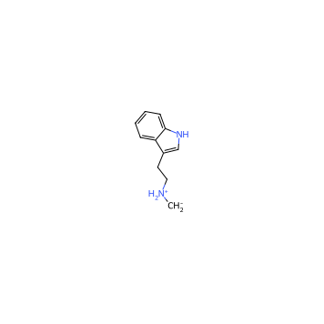 [CH2-][NH2+]CCc1c[nH]c2ccccc12